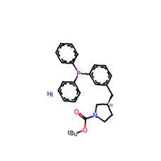 CC(C)(C)OC(=O)N1CC[C@H](Cc2cccc(P(c3ccccc3)c3ccccc3)c2)C1.I